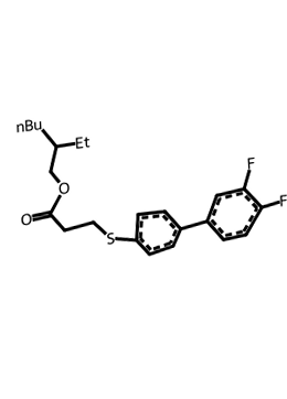 CCCCC(CC)COC(=O)CCSc1ccc(-c2ccc(F)c(F)c2)cc1